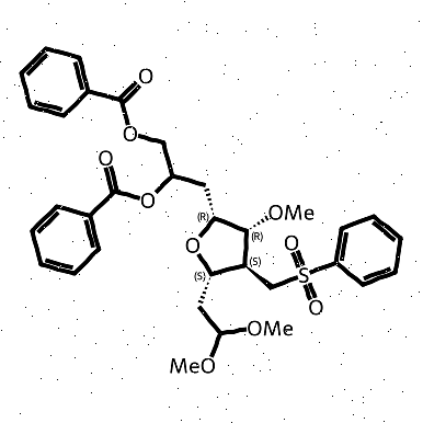 COC(C[C@@H]1O[C@H](CC(COC(=O)c2ccccc2)OC(=O)c2ccccc2)[C@H](OC)[C@H]1CS(=O)(=O)c1ccccc1)OC